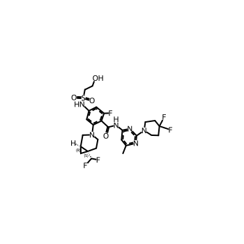 Cc1cc(NC(=O)c2c(F)cc(NS(=O)(=O)CCO)cc2N2CC[C@@]3(C(F)F)C[C@H]3C2)nc(N2CCC(F)(F)CC2)n1